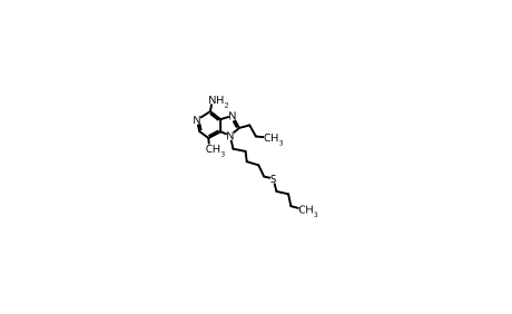 CCCCSCCCCCn1c(CCC)nc2c(N)ncc(C)c21